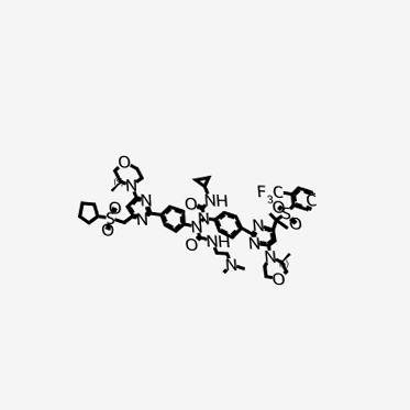 C[C@H]1COCCN1c1cc(CS(=O)(=O)C2CCCC2)nc(-c2ccc(N(C(=O)NCCN(C)C)N(C(=O)NC3CC3)c3ccc(-c4nc(N5CCOC[C@@H]5C)cc(C(C)(C)S(=O)(=O)c5ccccc5C(F)(F)F)n4)cc3)cc2)n1